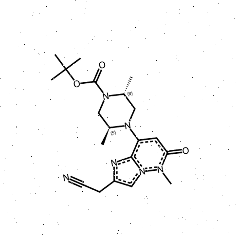 C[C@@H]1CN(c2cc(=O)n(C)n3cc(CC#N)nc23)[C@@H](C)CN1C(=O)OC(C)(C)C